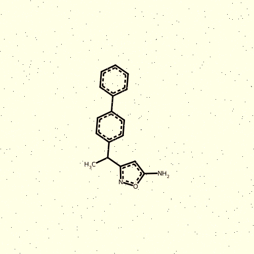 CC(c1ccc(-c2ccccc2)cc1)c1cc(N)on1